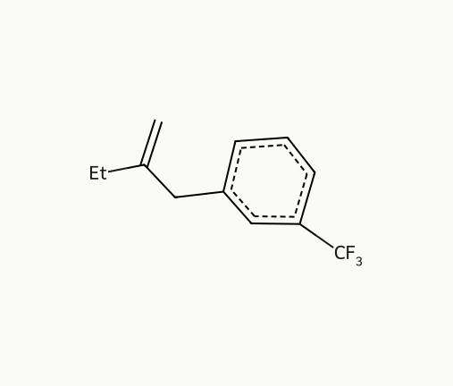 C=C(CC)Cc1cccc(C(F)(F)F)c1